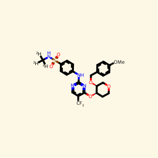 [2H]C([2H])([2H])NS(=O)(=O)c1ccc(Nc2ncc(C(F)(F)F)c(O[C@@H]3CCOC[C@@H]3OCc3ccc(OC)cc3)n2)cc1